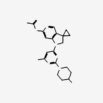 CC(=O)Nc1cc2c(cn1)C1(CC1)CN2c1cc(C)nc(N2CCC(O)CC2)n1